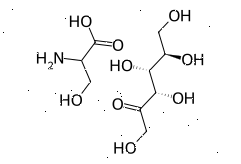 NC(CO)C(=O)O.O=C(CO)[C@@H](O)[C@H](O)[C@H](O)CO